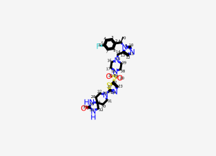 C[C@H](c1ccc(F)cc1)n1cncc1CN1CCN(S(=O)(=O)c2cnc(N3CCC4(CC3)CNC(=O)N4)s2)CC1